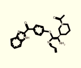 C=C/C=N\C(Oc1ccc(C(=O)c2nc3ccccc3[nH]2)cc1)=C(/N)[C@@H]1CCCN(C(C)=O)C1